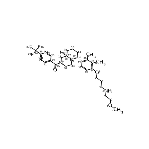 COCCNCCCOc1ccc([C@H]2CCC[C@H]3CN(C(=O)c4cnc(C(F)(F)F)nc4)CCN32)c(C)c1C